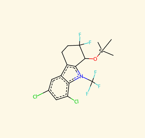 C[Si](C)(C)OC1c2c(c3cc(Cl)cc(Cl)c3n2C(F)(F)F)CCC1(F)F